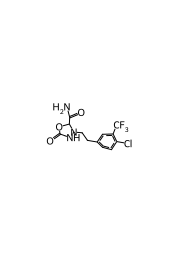 NC(=O)C1OC(=O)NN1CCc1ccc(Cl)c(C(F)(F)F)c1